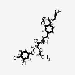 C#CCOc1ccc(CCNC(=O)[C@@H](COc2ccc(Cl)c(Cl)c2)OCC)cc1OC